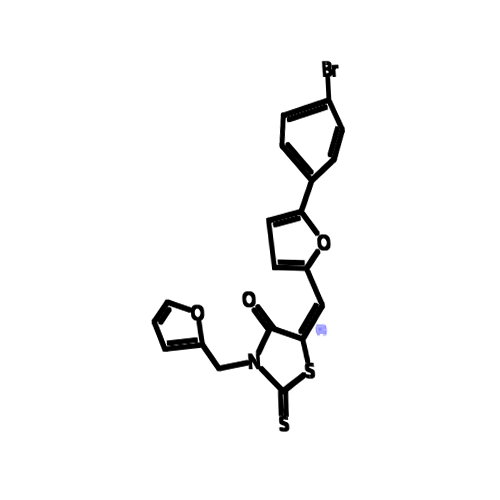 O=C1/C(=C\c2ccc(-c3ccc(Br)cc3)o2)SC(=S)N1Cc1ccco1